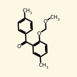 COCOc1ccc(C)cc1C(=O)c1ccc(C)cc1